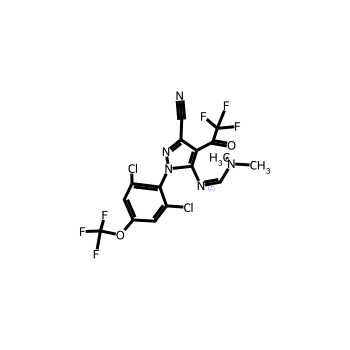 CN(C)/C=N\c1c(C(=O)C(F)(F)F)c(C#N)nn1-c1c(Cl)cc(OC(F)(F)F)cc1Cl